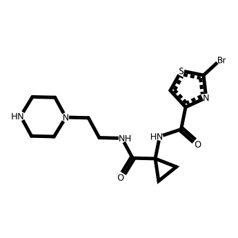 O=C(NC1(C(=O)NCCN2CCNCC2)CC1)c1csc(Br)n1